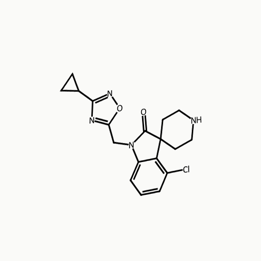 O=C1N(Cc2nc(C3CC3)no2)c2cccc(Cl)c2C12CCNCC2